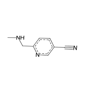 CNCc1ccc(C#N)cn1